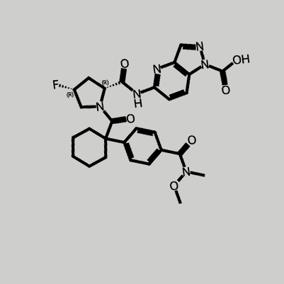 CON(C)C(=O)c1ccc(C2(C(=O)N3C[C@H](F)C[C@@H]3C(=O)Nc3ccc4c(cnn4C(=O)O)n3)CCCCC2)cc1